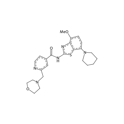 COc1ccc(N2CCCCC2)c2sc(NC(=O)c3ccnc(CN4CCOCC4)c3)nc12